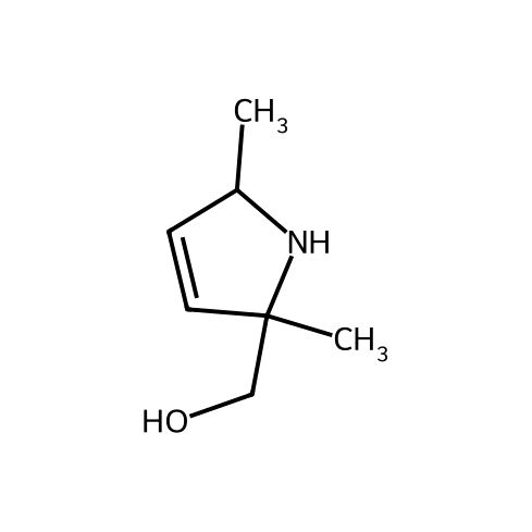 CC1C=CC(C)(CO)N1